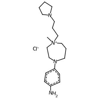 C[N+]1(CCCN2CCCC2)CCCN(c2ccc(N)cc2)CC1.[Cl-]